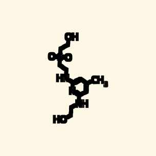 Cc1cc(NCCO)nc(NCCS(=O)(=O)CCO)c1